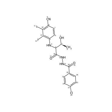 C[C@H](O)C(Nc1ccc(C#N)c(I)c1I)C(=O)NNC(=O)c1ccc(Cl)cc1